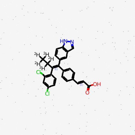 [2H]C([2H])([2H])C([2H])([2H])/C(=C(/c1ccc(/C=C/C(=O)O)cc1)c1ccc2[nH]ncc2c1)c1ccc(Cl)cc1Cl